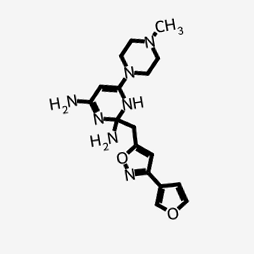 CN1CCN(C2=CC(N)=NC(N)(Cc3cc(-c4ccoc4)no3)N2)CC1